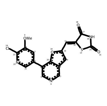 COc1cc(-c2cncc3cc(/C=C4\SC(=O)NC4=O)oc23)cnc1Cl